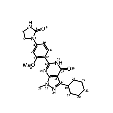 COc1cc(N2CCNC2=O)ccc1-c1nc2c(c(C3CCCCC3)nn2C)c(=O)[nH]1